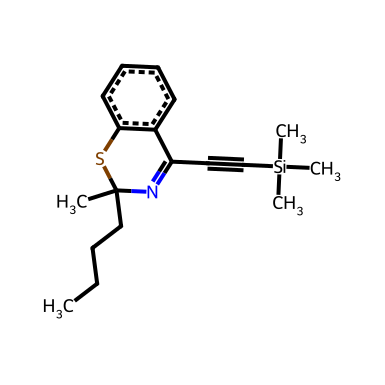 CCCCC1(C)N=C(C#C[Si](C)(C)C)c2ccccc2S1